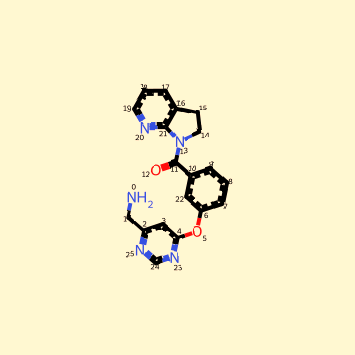 NCc1cc(Oc2cccc(C(=O)N3CCc4cccnc43)c2)ncn1